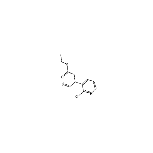 CCOC(=O)CC(C=O)c1cccnc1Cl